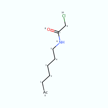 CC(=O)CCCCCNC(=O)CCl